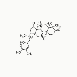 CC(=CC(O)CC(C)C1CC(=O)C2(C)C3=C(C(=O)CC12C)C1(C)CCC(=O)C(C)(C)C1CC3=O)C(=O)O